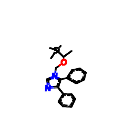 CC(OCn1cnc(-c2ccccc2)c1-c1ccccc1)[Si](C)(C)C